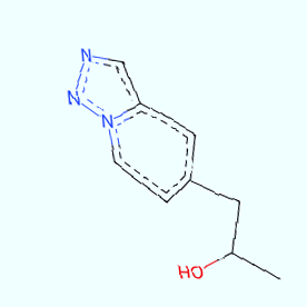 CC(O)Cc1ccn2nncc2c1